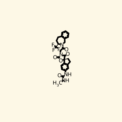 CNC(=O)Nc1ccc2c(c1)CC[C@]21OC(=O)N(CC(=O)N2Cc3ccccc3CC[C@@H]2C(F)(F)F)C1=O